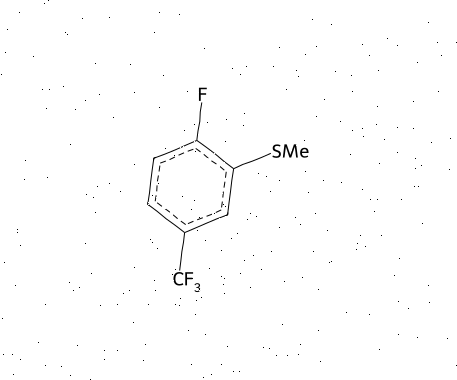 CSc1cc(C(F)(F)F)ccc1F